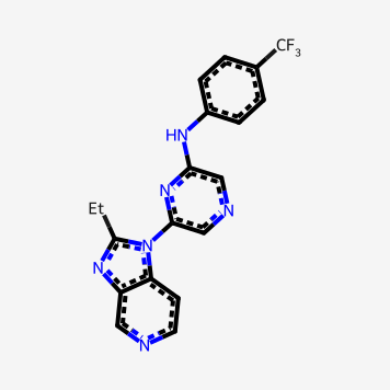 CCc1nc2cnccc2n1-c1cncc(Nc2ccc(C(F)(F)F)cc2)n1